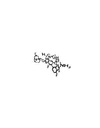 CN(c1nc(OC[C@@]23CCCN2C[C@H](F)C3)nc2c(F)c(-c3ccc(F)c4sc(N)nc34)c(OC(F)(F)F)cc12)[C@@H]1CCNC1